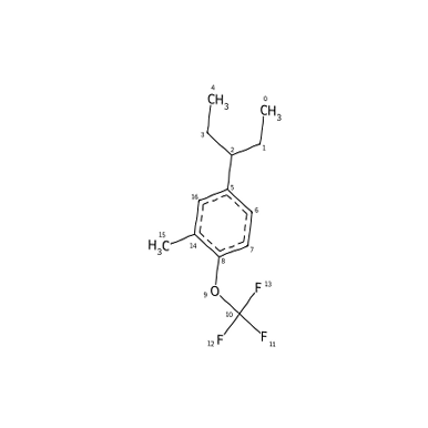 CCC(CC)c1ccc(OC(F)(F)F)c(C)c1